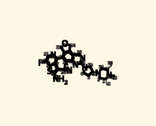 C[C@@H]1CN([C@@H]2CCN(c3ncc4c5c(c(-c6ncc(F)c7sc(N)c(C#N)c67)c(F)c4n3)COC5)C2)C[C@H](C)N1C